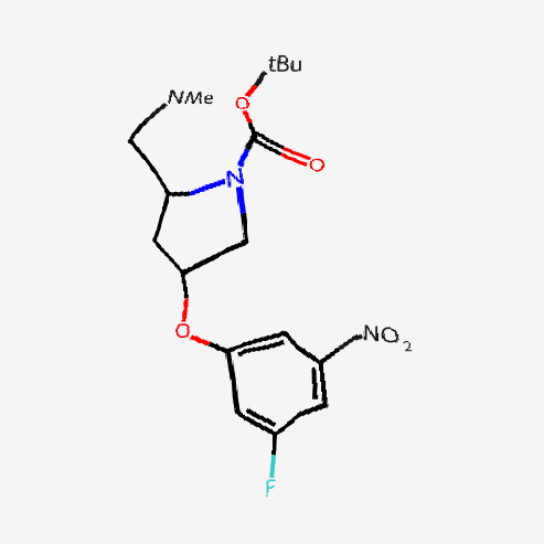 CNCC1CC(Oc2cc(F)cc([N+](=O)[O-])c2)CN1C(=O)OC(C)(C)C